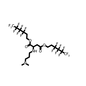 CN(C)CCCNC(CC(=O)OCCC(F)(F)C(F)(F)C(F)(F)C(F)(F)F)C(=O)OCCC(F)(F)C(F)(F)C(F)(F)C(F)(F)F